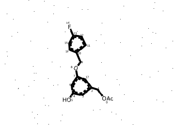 CC(=O)OCc1cc(O)cc(OCc2ccc(F)cc2)c1